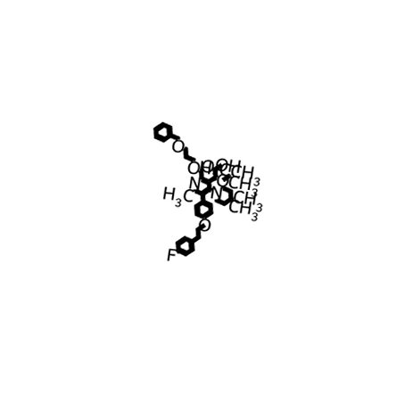 Cc1nc(COCCCOCc2ccccc2)c(C(OC(C)(C)C)C(=O)O)c(N2CCC(C)(C)CC2)c1-c1ccc(OCCc2ccc(F)cc2)cc1